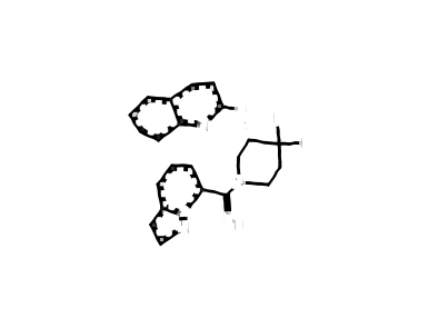 Cl.O=C(c1cccc2ccnn12)N1CCC(F)(F)[C@@H](Oc2ccc3ccccc3n2)C1